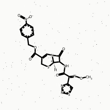 CON=C(C(=O)NC1C(=O)N2C=C(C(=O)OCc3ccc([N+](=O)[O-])cc3)CS[C@H]12)c1csnn1